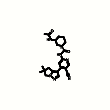 CC(=O)NC1CCC[C@@H](C(=O)Nc2cc(-c3cnn4c3CC(C)(C)C4)c(C#N)cn2)C1